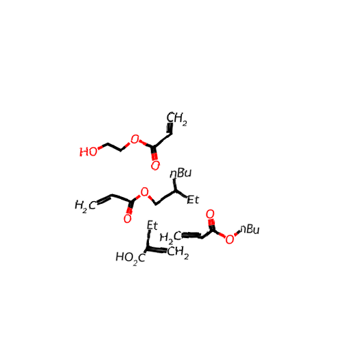 C=C(CC)C(=O)O.C=CC(=O)OCC(CC)CCCC.C=CC(=O)OCCCC.C=CC(=O)OCCO